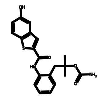 CC(C)(Cc1ccccc1NC(=O)c1cc2cc(O)ccc2s1)OC(N)=O